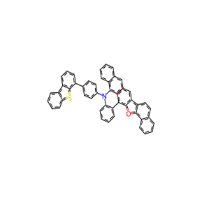 c1ccc(N(c2ccc(-c3cccc4c3sc3ccccc34)cc2)c2cccc3ccccc23)c(-c2cccc3c2oc2c4ccccc4ccc32)c1